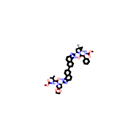 COC(=O)NC(C(=O)N1CC2(C[C@H]1c1nc3ccc4cc(-c5ccc6c(ccc7nc([C@@H]8C[C@H]9C[C@H]9N8C(=O)[C@H](NC(=O)OC)c8ccccc8)[nH]c76)c5)ccc4c3[nH]1)OCCO2)C(C)C